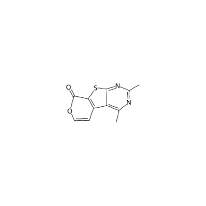 Cc1nc(C)c2c(n1)sc1c(=O)occc12